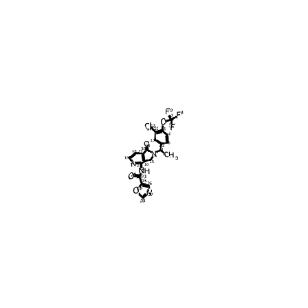 CC(c1ccc(OC(F)(F)F)c(Cl)c1)N1Cc2c(ccnc2NC(=O)c2cnco2)C1=O